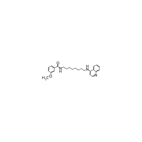 COc1cccc(C(=O)NCCCCCCCCNc2ccnc3ccccc23)c1